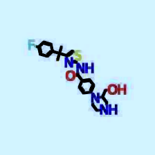 CC(C)(c1ccc(F)cc1)c1csc(NC(=O)c2ccc(N3CCNCC3CO)cc2)n1